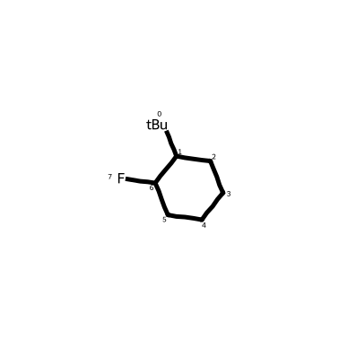 CC(C)(C)C1CCCCC1F